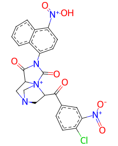 O=C(c1ccc(Cl)c([N+](=O)[O-])c1)C1C[N@@]2CC3C(=O)N(c4ccc([N+](=O)O)c5ccccc45)C(=O)[N+]13C2